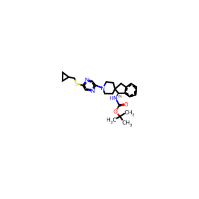 CC(C)(C)OC(=O)N[C@@H]1c2ccccc2CC12CCN(c1cnc(SCC3CC3)cn1)CC2